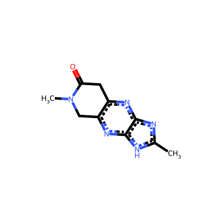 Cc1nc2nc3c(nc2[nH]1)CN(C)C(=O)C3